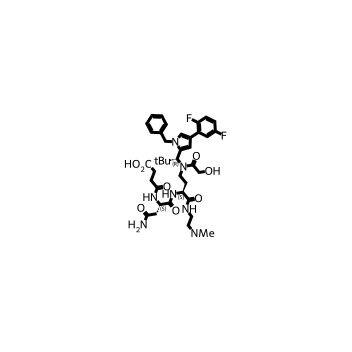 CNCCNC(=O)[C@H](CCN(C(=O)CO)[C@@H](c1cc(-c2cc(F)ccc2F)cn1Cc1ccccc1)C(C)(C)C)NC(=O)[C@H](CC(N)=O)NC(=O)CCC(=O)O